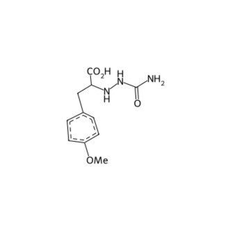 COc1ccc(CC(NNC(N)=O)C(=O)O)cc1